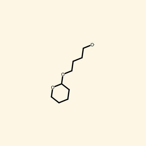 [O]CCCCOC1CCCCO1